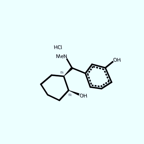 CNC(c1cccc(O)c1)[C@@H]1CCCC[C@@H]1O.Cl